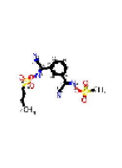 CCCCS(=O)(=O)ON=C(C#N)c1cccc(C(C#N)=NOS(C)(=O)=O)c1